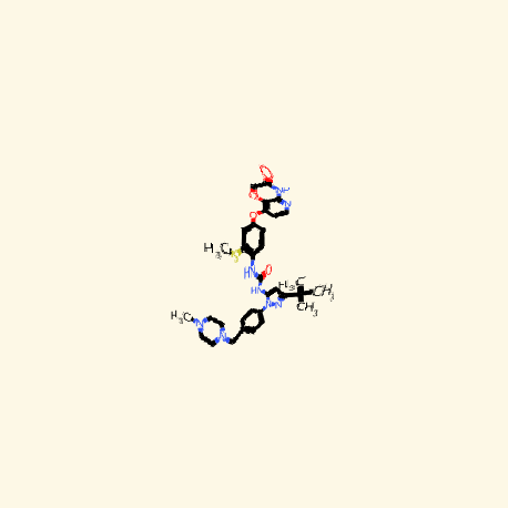 CSc1cc(Oc2ccnc3c2OCC(=O)N3)ccc1NC(=O)Nc1cc(C(C)(C)C)nn1-c1ccc(CN2CCN(C)CC2)cc1